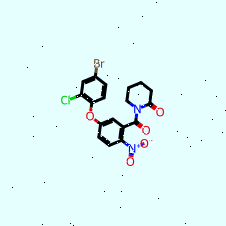 O=C1CCCCN1C(=O)c1cc(Oc2ccc(Br)cc2Cl)ccc1[N+](=O)[O-]